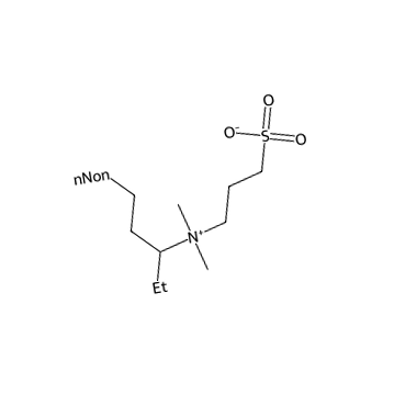 CCCCCCCCCCCC(CC)[N+](C)(C)CCCS(=O)(=O)[O-]